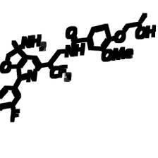 COc1cc(C(=O)NCC(c2cc3c(c(-c4ccc(Cl)c(F)c4)n2)OCC3(C)N)C(F)(F)F)ccc1OC[C@@H](C)O